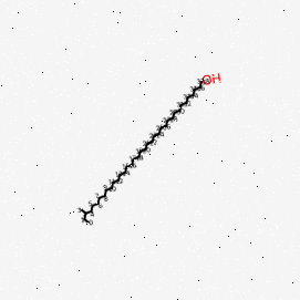 CCC(C)CCCCCCCCCCCCCCCCCCCCCCCCCCCCCCCCCCO